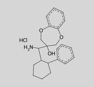 Cl.NC(C1CCCCC1c1ccccc1)C1(O)COc2ccccc2OC1